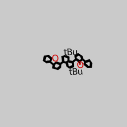 CC(C)(C)c1cc(-c2cccc3c2oc2ccccc23)c2cc(C(C)(C)C)cc(-c3cccc4c3oc3ccccc34)c2c1